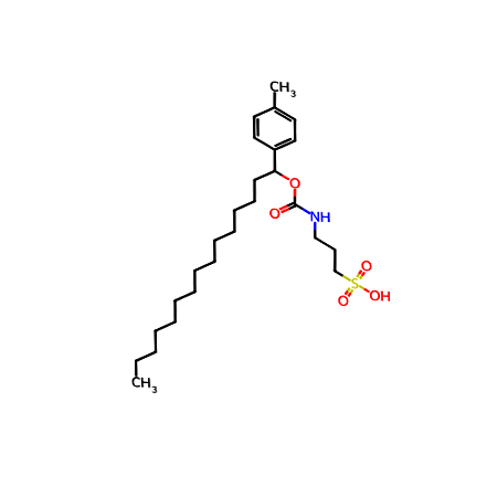 CCCCCCCCCCCCCCC(OC(=O)NCCCS(=O)(=O)O)c1ccc(C)cc1